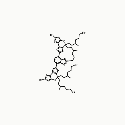 CC(C)CCCC(C)CCC1(CCC(C)CCCC(C)C)Oc2cc(Br)sc2-c2sc(-c3ccc(-c4cc5c(s4)-c4sc(Br)cc4OC5(CCC(C)CCCC(C)C)CCC(C)CCCC(C)C)c4nsnc34)cc21